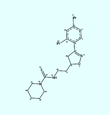 CC(C)c1ccc(C2=NOC(CCNC(=S)N3CCCCC3)C2)c(C(C)C)c1